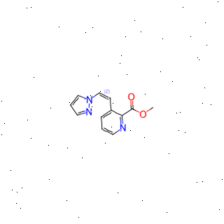 COC(=O)c1ncccc1/C=C\n1cccn1